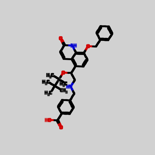 CC(C)(C)[Si](C)(C)OC(CNCc1ccc(C(=O)O)cc1)c1ccc(OCc2ccccc2)c2[nH]c(=O)ccc12